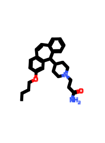 CCCCOc1ccc2c(c1)C(C1CCN(CCC(N)=O)CC1)c1ccccc1C=C2